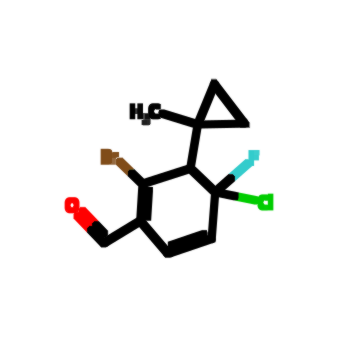 CC1(C2C(Br)=C(C=O)C=CC2(F)Cl)CC1